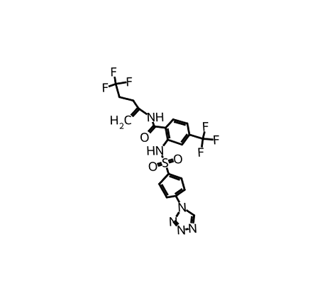 C=C(CCC(F)(F)F)NC(=O)c1ccc(C(F)(F)F)cc1NS(=O)(=O)c1ccc(-n2cnnn2)cc1